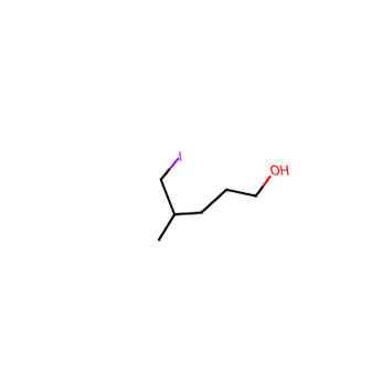 CC(CI)CCCO